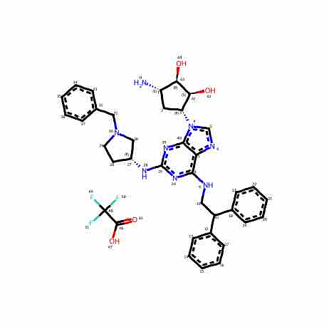 N[C@H]1C[C@@H](n2cnc3c(NCC(c4ccccc4)c4ccccc4)nc(N[C@@H]4CCN(Cc5ccccc5)C4)nc32)[C@H](O)[C@@H]1O.O=C(O)C(F)(F)F